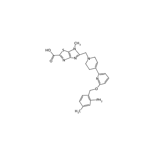 Cc1ccc(COc2cccc(C3=CCN(Cc4nc5nc(C(=O)O)sc5n4C)CC3)n2)c(P)c1